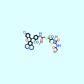 O=C(CSCC1=C(C(=O)O)N2C(=O)C(NC(=O)CBr)C2SC1)Nc1ccc(-c2c3ccc(=O)cc-3oc3c4c5c(cc23)CCCN5CCC4)c(C(=O)O)c1